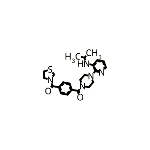 CC(C)Nc1cccnc1N1CCN(C(=O)c2ccc(C(=O)N3CCSC3)cc2)CC1